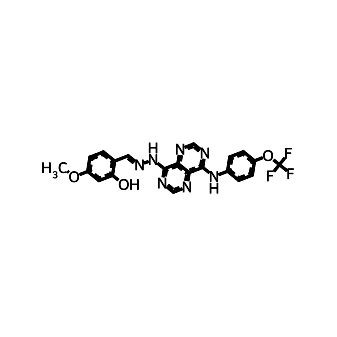 COc1ccc(/C=N/Nc2ncnc3c(Nc4ccc(OC(F)(F)F)cc4)ncnc23)c(O)c1